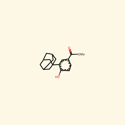 COC(=O)c1ccc(O)c(C23CC4CC(CC(C4)C2)C3)c1